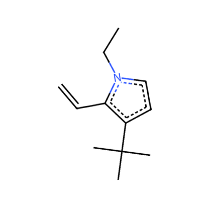 C=Cc1c(C(C)(C)C)ccn1CC